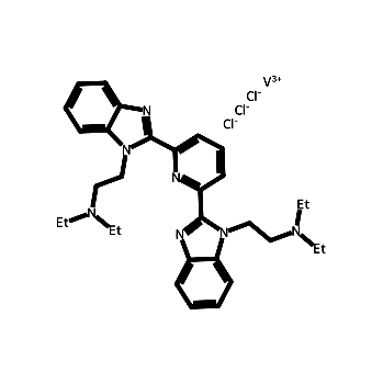 CCN(CC)CCn1c(-c2cccc(-c3nc4ccccc4n3CCN(CC)CC)n2)nc2ccccc21.[Cl-].[Cl-].[Cl-].[V+3]